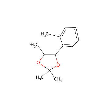 [CH2]C1OC(C)(C)OC1c1ccccc1C